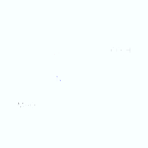 COc1ccc(OC2CCC(C(=O)O)CC2)nc1